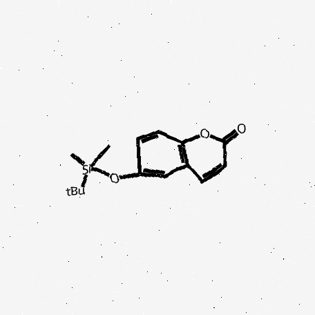 CC(C)(C)[Si](C)(C)Oc1ccc2oc(=O)ccc2c1